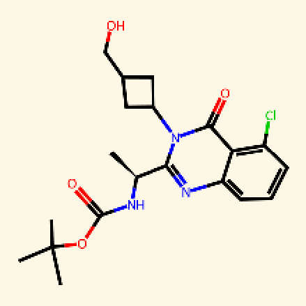 C[C@H](NC(=O)OC(C)(C)C)c1nc2cccc(Cl)c2c(=O)n1C1CC(CO)C1